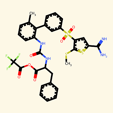 CSc1sc(C(=N)N)cc1S(=O)(=O)c1cccc(-c2c(C)cccc2NC(=O)NC(Cc2ccccc2)C(=O)OC(=O)C(F)(F)F)c1